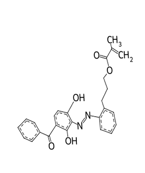 C=C(C)C(=O)OCCCc1ccccc1N=Nc1c(O)ccc(C(=O)c2ccccc2)c1O